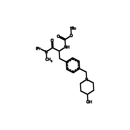 CC(C)N(C)C(=O)C(Cc1ccc(CN2CCC(O)CC2)cc1)NC(=O)OC(C)(C)C